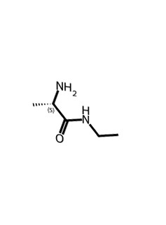 CCNC(=O)[C@H](C)N